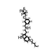 CCCCOc1ccc2[nH]cc(CCNCc3cccc(OCC(F)(F)C(F)F)c3)c2c1